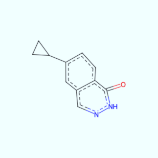 O=c1[nH]ncc2cc(C3CC3)ccc12